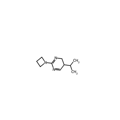 CC(C)C1C=NC(N2CCC2)=NC1